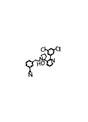 N#Cc1cccc(CCN2CCCC2(O)c2cccnc2-c2cc(Cl)cc(Cl)c2)c1